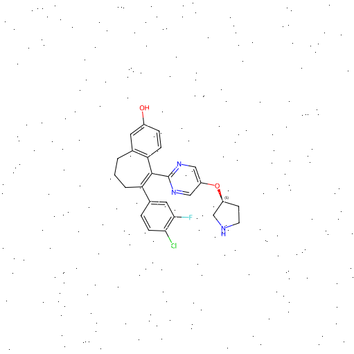 Oc1ccc2c(c1)CCCC(c1ccc(Cl)c(F)c1)=C2c1ncc(O[C@H]2CCNC2)cn1